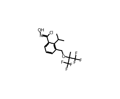 CC(C)c1c(COC(C)(C(F)(F)F)C(F)(F)F)cccc1C(Cl)=NO